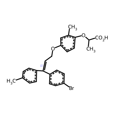 Cc1ccc(/C(=C/COc2ccc(OC(C)C(=O)O)c(C)c2)c2ccc(Br)cc2)cc1